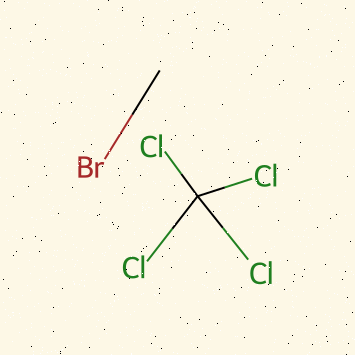 CBr.ClC(Cl)(Cl)Cl